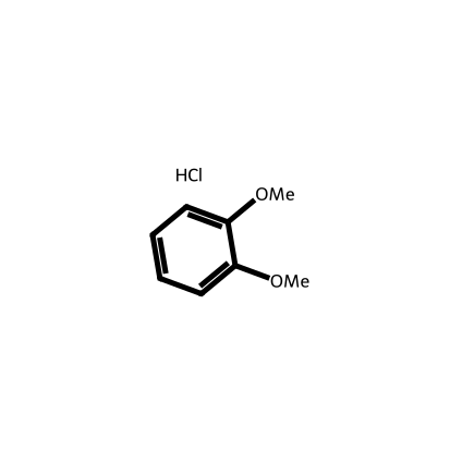 COc1ccccc1OC.Cl